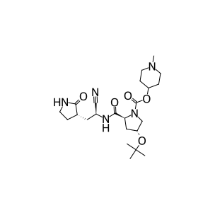 CN1CCC(OC(=O)N2C[C@H](OC(C)(C)C)C[C@H]2C(=O)N[C@H](C#N)C[C@@H]2CCNC2=O)CC1